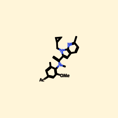 C=C(c1cc2ccc(C)nc2n1CC1CC1)N(C)c1c(C)cc(C(C)=O)cc1OC